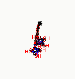 O=C(O)CN1CCN(CC(=O)O)CCN(CC(O)CN(CCOCCOCCOCCOCCOCCOCc2ccccc2)CC(O)CN2CCN(CC(=O)O)CCN(CC(=O)O)CCN(CC(=O)O)CC2)CCN(CC(=O)O)CC1